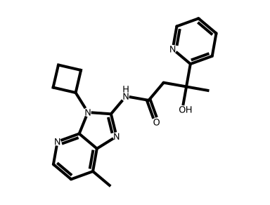 Cc1ccnc2c1nc(NC(=O)CC(C)(O)c1ccccn1)n2C1CCC1